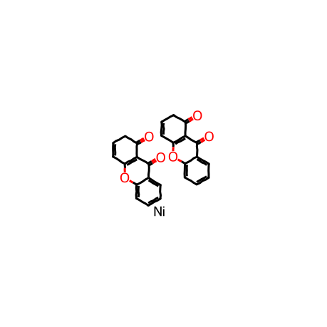 O=C1CC=Cc2oc3ccccc3c(=O)c21.O=C1CC=Cc2oc3ccccc3c(=O)c21.[Ni]